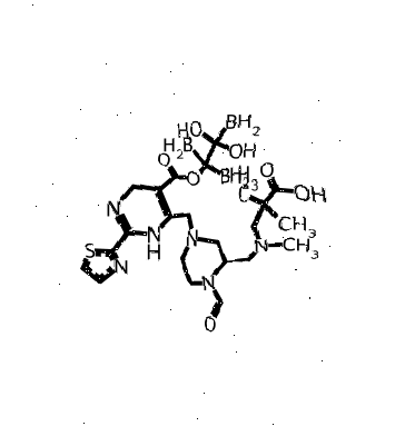 BC(O)(O)C(B)(B)OC(=O)C1=C(CN2CCN(C=O)[C@H](CN(C)CC(C)(C)C(=O)O)C2)NC(c2nccs2)=NC1